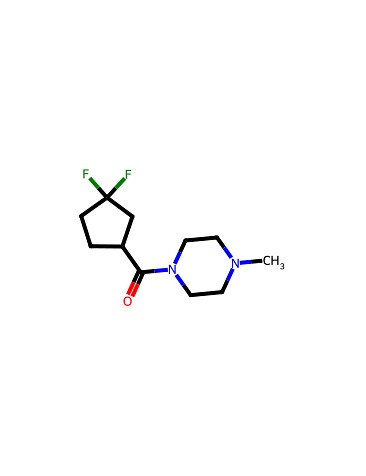 CN1CCN(C(=O)C2CCC(F)(F)C2)CC1